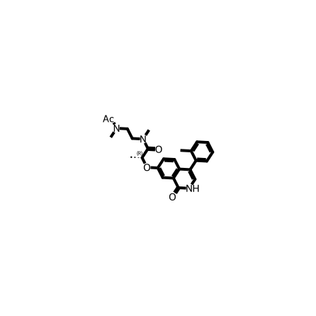 CC(=O)N(C)CCN(C)C(=O)[C@@H](C)Oc1ccc2c(-c3ccccc3C)c[nH]c(=O)c2c1